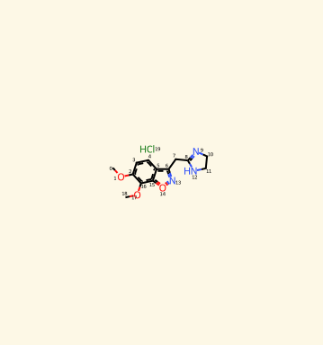 COc1ccc2c(CC3=NCCN3)noc2c1OC.Cl